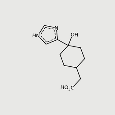 O=C(O)CC1CCC(O)(c2c[nH]cn2)CC1